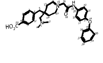 CN(C)CC1(Cc2ccc(C(=O)O)cc2)CCN(CC(=O)Nc2ccc(Oc3ccccc3)cc2)CC1